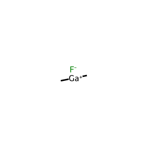 [CH3][Ga+][CH3].[F-]